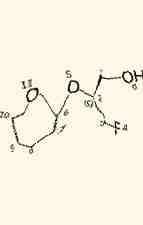 OC[C@@H](CF)OC1CCCCO1